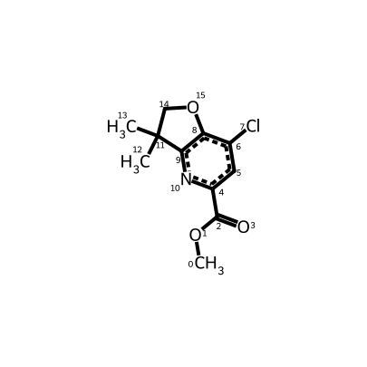 COC(=O)c1cc(Cl)c2c(n1)C(C)(C)CO2